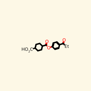 CCC(=O)c1ccc(OC(=O)C2CCC(C(=O)O)CC2)cc1